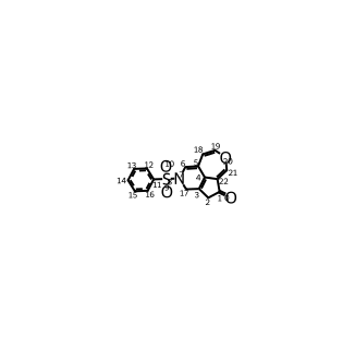 O=C1CC2=C3C(=CN(S(=O)(=O)c4ccccc4)C2)C=COC=C13